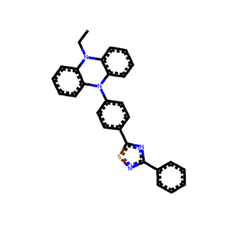 CCN1c2ccccc2N(c2ccc(-c3nc(-c4ccccc4)ns3)cc2)c2ccccc21